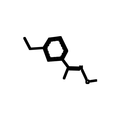 CCc1cccc(C(C)=NOC)c1